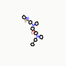 c1ccc(-c2ccc(N(c3ccccc3)c3ccc4c(c3)oc3ccc(N(c5ccccc5)c5ccc(-c6nc7ccccc7s6)cc5)cc34)cc2)cc1